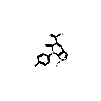 Cn1ncc2cc(C(=O)O)c(=O)n(-c3ccc(F)cc3)c21